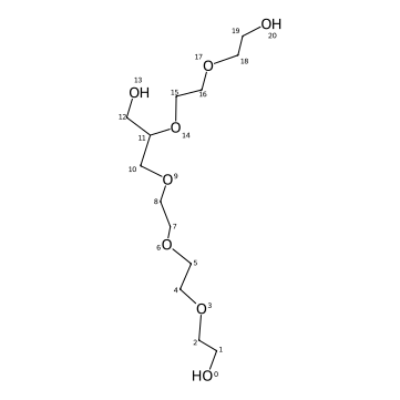 OCCOCCOCCOCC(CO)OCCOCCO